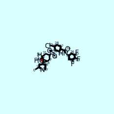 Cc1cc([C@@]2(O)C3CC(S(=O)(=O)c4cc(C(=O)Nc5cc(F)c(F)c(F)c5)ccc4Cl)C[C@@H]2[C@@H](C)C3)ccn1